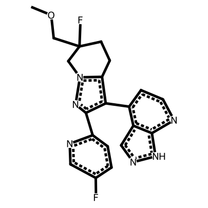 COCC1(F)CCc2c(-c3ccnc4[nH]ncc34)c(-c3ccc(F)cn3)nn2C1